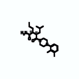 CCC[C@H](C(N)=O)[C@@H](CC(C)C)C(=O)N1CCN(c2cccc(C)c2C)CC1